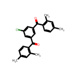 Cc1ccc(C(=O)c2cc(Cl)cc(C(=O)c3ccc(C)cc3C)c2)c(C)c1